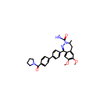 CNC(=O)N1N=C(c2ccc(-c3ccc(C(=O)N4CCCC4)cc3)cc2)c2cc(OC)c(OC)cc2CC1C